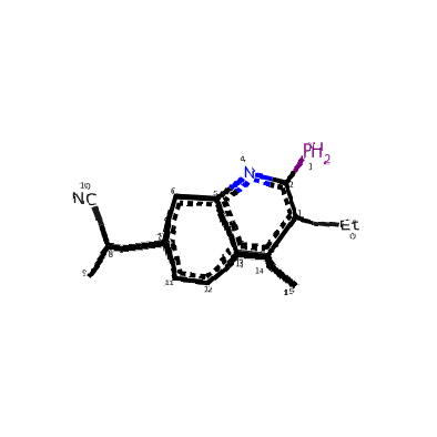 CCc1c(P)nc2cc(C(C)C#N)ccc2c1C